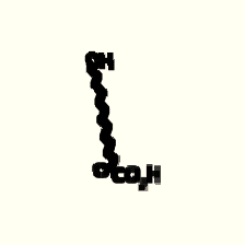 O=C(O)C(=O)CCCCCCCCCCCCO